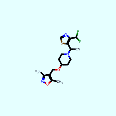 Cc1noc(C)c1COC1CCN(C(C#N)c2scnc2C(F)F)CC1